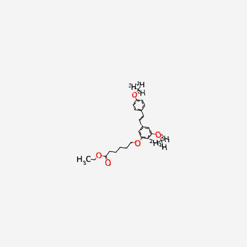 [2H]C([2H])([2H])Oc1ccc(/C=C/c2cc(OCCCCCC(=O)OCC)cc(OC([2H])([2H])[2H])c2)cc1